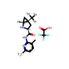 O=C(O)C(F)(F)F.[2H]C([2H])([2H])[C@@]12C[C@@H](C(=O)Nc3nc(C(F)(F)F)ccc3C)N[C@@H]1C2